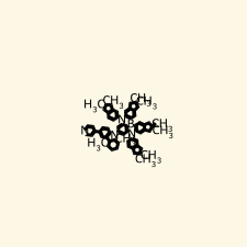 CC1(C)Cc2ccc(N3c4cc5c(cc4B4c6cc7c(cc6N(c6ccc8c(c6)CC(C)(C)C8)c6cc(N8c9ccc(-c%10ccncc%10)cc9C9(C)CCCCC89C)cc3c64)CC(C)(C)C7)CC(C)(C)C5)cc2C1